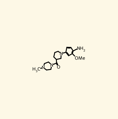 COc1cc(N2CCCC(C(=O)N3CCN(C)CC3)C2)ccc1N